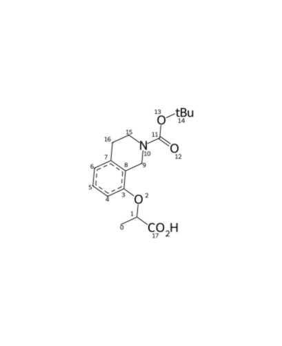 CC(Oc1cccc2c1CN(C(=O)OC(C)(C)C)CC2)C(=O)O